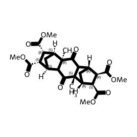 COC(=O)[C@@H]1[C@H](C(=O)OC)[C@@H]2C[C@H]1[C@]1(C)C(=O)C3[C@@H]4C[C@@H]([C@@H](C(=O)OC)[C@H]4C(=O)OC)[C@@]3(C)C(=O)C21